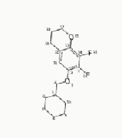 Fc1c(OCC2CCCCC2)cc2c(c1F)OCCC2